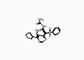 COC(=O)Nc1[nH]c2c(C3=CCCCC3)ncnc2c1S(=O)(=O)c1ccccc1